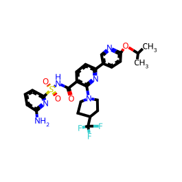 CC(C)Oc1ccc(-c2ccc(C(=O)NS(=O)(=O)c3cccc(N)n3)c(N3CCC(C(F)(F)F)CC3)n2)cn1